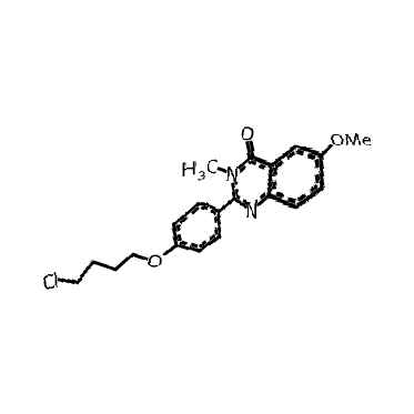 COc1ccc2nc(-c3ccc(OCCCCCl)cc3)n(C)c(=O)c2c1